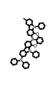 Cc1ccc2c(c1)c1ccc3c(c1n2-c1ccccc1)Oc1cccc2c1B3c1ccc3c4ccc(N(c5ccccc5)c5ccccc5)cc4n(-c4ccccc4)c3c1O2